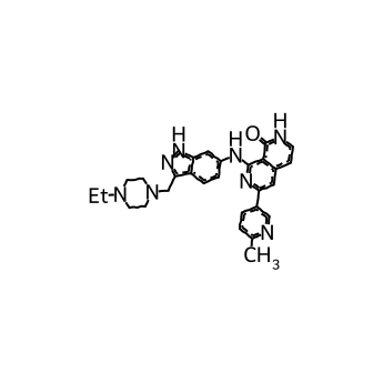 CCN1CCN(Cc2n[nH]c3cc(Nc4nc(-c5ccc(C)nc5)cc5cc[nH]c(=O)c45)ccc23)CC1